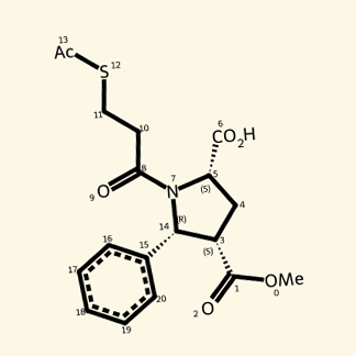 COC(=O)[C@H]1C[C@@H](C(=O)O)N(C(=O)CCSC(C)=O)[C@H]1c1ccccc1